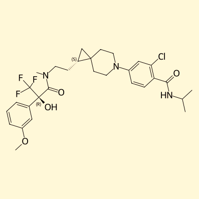 COc1cccc([C@@](O)(C(=O)N(C)CC[C@@H]2CC23CCN(c2ccc(C(=O)NC(C)C)c(Cl)c2)CC3)C(F)(F)F)c1